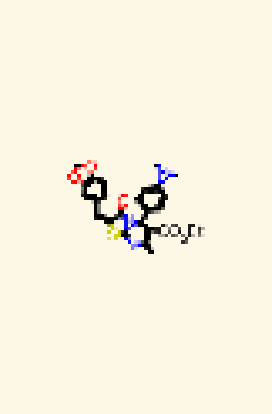 CCOC(=O)C1=C(C)N=c2s/c(=C/c3ccc4c(c3)OCO4)c(=O)n2C1c1ccc(N(C)C)cc1